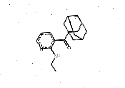 CCNc1ncccc1C(=O)C12CC3CC(CC(C3)C1)C2